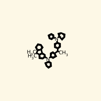 CC(c1ccc(N(c2ccccc2)c2ccccc2)cc1)c1ccc(N(c2ccccc2)c2ccc3c(c2)-c2ccccc2C3(C)C)cc1